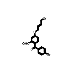 O=Cc1cc(OCC=CCBr)ccc1C(=O)c1ccc(Br)cc1